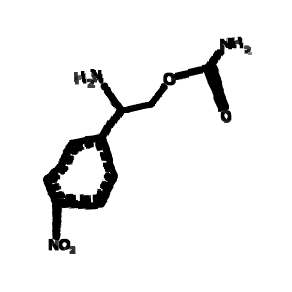 NC(=O)OCC(N)c1ccc([N+](=O)[O-])cc1